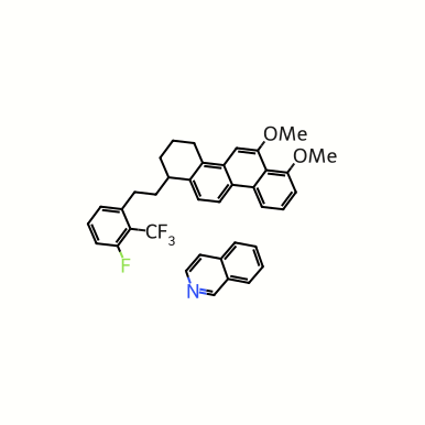 COc1cccc2c1c(OC)cc1c3c(ccc12)C(CCc1cccc(F)c1C(F)(F)F)CCC3.c1ccc2cnccc2c1